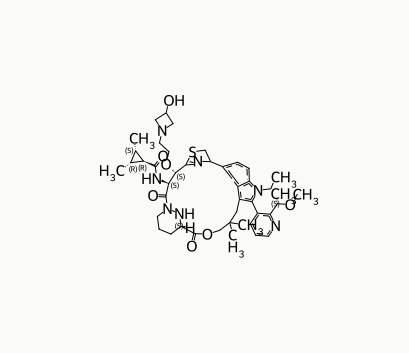 CCn1c(-c2cccnc2[C@H](C)OC)c2c3cc(ccc31)C1CSC(=N1)[C@@H](OCCN1CC(O)C1)[C@H](NC(=O)[C@H]1[C@H](C)[C@@H]1C)C(=O)N1CCC[C@H](N1)C(=O)OCC(C)(C)C2